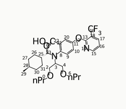 CCCOCC(COCCC)N(c1ccc(Oc2ncccc2C(F)(F)F)cc1C(=O)O)C(=O)[C@H]1CC[C@H](C)CC1